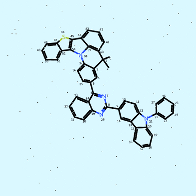 CC1(C)c2cc(-c3nc(-c4ccc5c(c4)c4ccccc4n5-c4ccccc4)nc4ccccc34)ccc2-n2c3c1cccc3c1sc3ccccc3c12